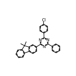 CC1(C)c2ccccc2-c2ccc(-c3nc(-c4ccccc4)nc(-c4ccc(Cl)cc4)n3)cc21